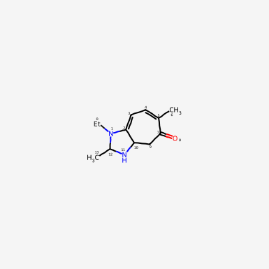 CCN1C2=CC=C(C)C(=O)CC2NC1C